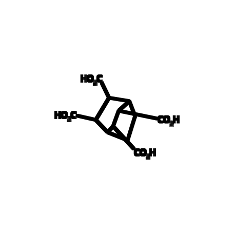 O=C(O)C1C2CCC(C1C(=O)O)C(C(=O)O)C2C(=O)O